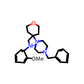 COc1ccccc1NCC1(N2CCN(Cc3ccccc3)CC2)CCOCC1